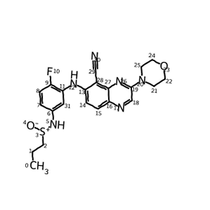 CCC[S+]([O-])Nc1ccc(F)c(Nc2ccc3ncc(N4CCOCC4)nc3c2C#N)c1